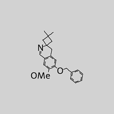 COc1cc2c(cc1OCc1ccccc1)CC1(CC(C)(C)C1)N=C2